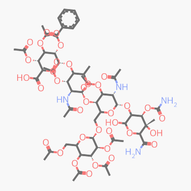 CC(=O)N[C@@H]1[C@H](O[C@@H]2C(CO[C@@H]3OC(COC(C)=O)C(OC(C)=O)[C@@H](OC(C)=O)[C@@H]3OC(C)=O)O[C@@H](OC3C(O)OC(C(N)=O)[C@@](C)(O)[C@@H]3OC(N)=O)[C@@H](NC(C)=O)C2OC(C)=O)OC(C)C(O[C@@H]2OC(C(=O)O)[C@H](OC(C)=O)C(OC(C)=O)[C@@H]2OC(=O)c2ccccc2)[C@H]1OC(C)=O